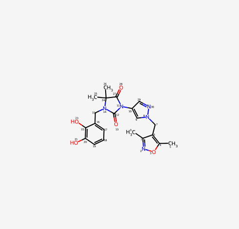 Cc1noc(C)c1Cn1cc(N2C(=O)N(Cc3cccc(O)c3O)C(C)(C)C2=O)cn1